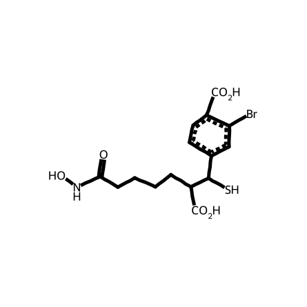 O=C(CCCCC(C(=O)O)C(S)c1ccc(C(=O)O)c(Br)c1)NO